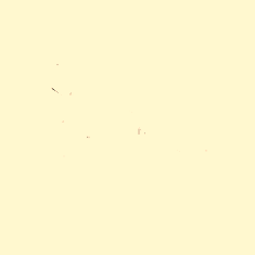 O=C(O)CNC(=O)C1O[C@H](CO)[C@@H](O)[C@H]1OP(=O)(O)O